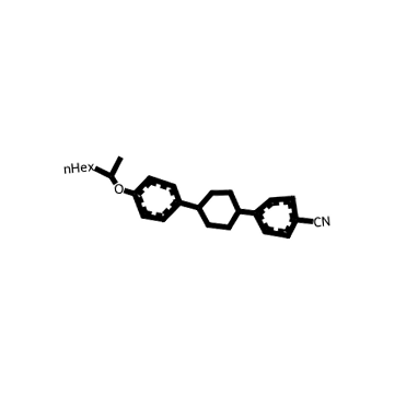 CCCCCCC(C)Oc1ccc(C2CCC(c3ccc(C#N)cc3)CC2)cc1